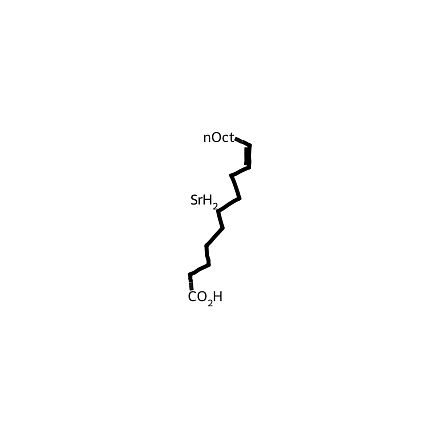 CCCCCCCC/C=C\CCCCCCCC(=O)O.[SrH2]